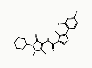 Cc1c(C(=O)Nc2c(C)n(C)n(C3CCCCC3)c2=O)noc1-c1ccc(F)cc1F